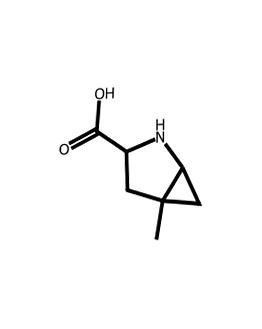 CC12CC(C(=O)O)NC1C2